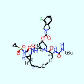 CC(C)(C)NC(=O)N[C@H]1CCCCC/C=C/[C@@H]2C[C@@]2(C(=O)NS(=O)(=O)C2CC2)NC(=O)[C@@H]2C[C@@H](OC(=O)N3Cc4cccc(F)c4C3)CN2C1=O